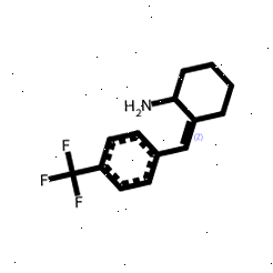 NC1CCCC/C1=C/c1ccc(C(F)(F)F)cc1